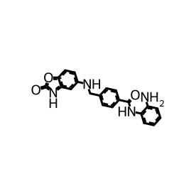 Nc1ccccc1NC(=O)c1ccc(CNc2ccc3oc(=O)[nH]c3c2)cc1